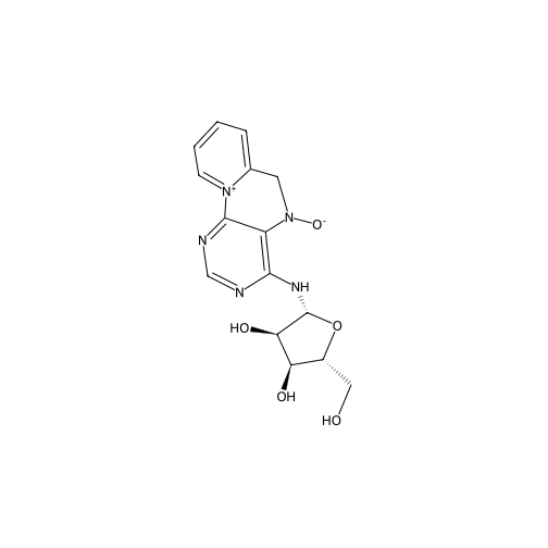 [O-]N1Cc2cccc[n+]2-c2ncnc(N[C@@H]3O[C@H](CO)[C@@H](O)[C@H]3O)c21